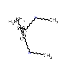 CCCCCCCC/C=C\CCCCCCCC(=O)OC[C@H](COC(=S)CCCN(C)C)OC(=O)CCCCCCC/C=C\CCCCCCCC